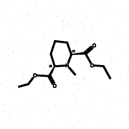 CCOC(=O)[C@H]1CCC[C@@H](C(=O)OCC)N1C